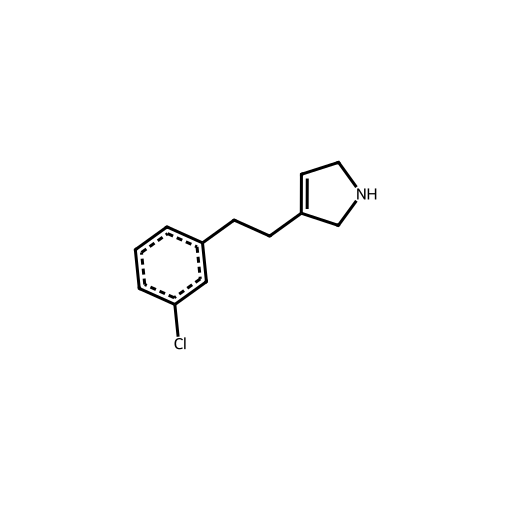 Clc1cccc(CCC2=CCNC2)c1